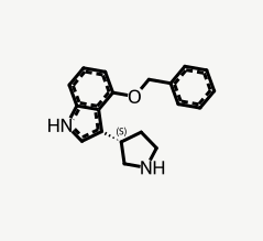 c1ccc(COc2cccc3[nH]cc([C@@H]4CCNC4)c23)cc1